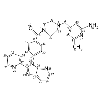 Cc1cc(CN2CCN(C(=O)c3ccc(-n4c(-c5ccccn5)nc5cccnc54)cc3)CC2)cc(N)n1